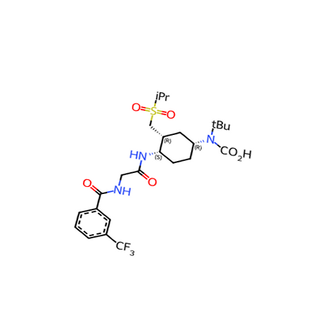 CC(C)S(=O)(=O)C[C@@H]1C[C@H](N(C(=O)O)C(C)(C)C)CC[C@@H]1NC(=O)CNC(=O)c1cccc(C(F)(F)F)c1